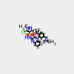 Cc1nn(C)c(Cl)c1S(=O)(=O)Nc1nc2ccccc2nc1OC(c1ccc(CN(C)C)cc1)C(F)(F)F